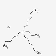 CCCCCC[P+](CCC)(CCCCCC)CCCCCC.[Br-]